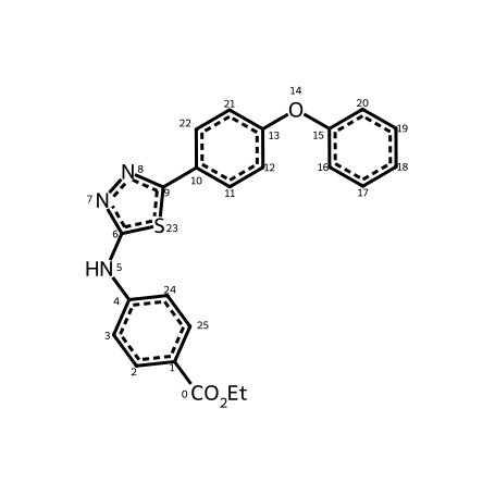 CCOC(=O)c1ccc(Nc2nnc(-c3ccc(Oc4ccccc4)cc3)s2)cc1